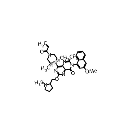 C=CC(=O)N1C[C@H](C)N(c2nc(OCC3CCCN3C)nc3c(=O)n(-c4cc(OC)cc5ccccc45)c(C(F)(F)F)nc23)[C@@H](C)C1